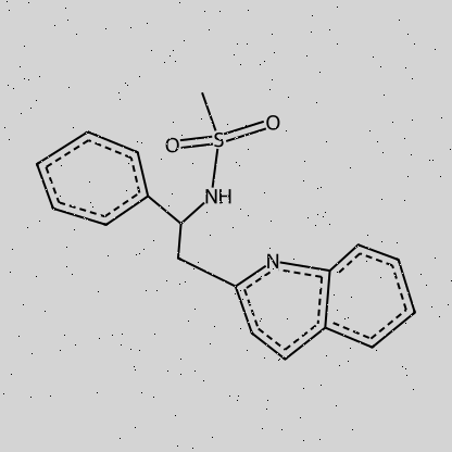 CS(=O)(=O)NC(Cc1ccc2ccccc2n1)c1ccccc1